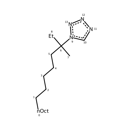 CCCCCCCCCCCCCC(C)(CC)n1cnnn1